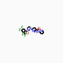 O=C(Nc1ccccn1)c1ccc(N2CCCN(C(=O)c3cc(F)c(F)cc3C(F)(F)F)C2)nc1